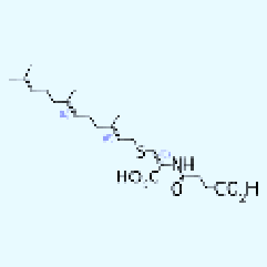 CC(C)=CCC/C(C)=C/CC/C(C)=C/CS/C=C(/NC(=O)CCC(=O)O)C(=O)O